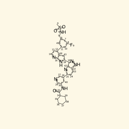 CS(=O)(=O)NCc1cc(F)cc(-c2ccnc3[nH]c(-c4n[nH]c5ccc(-c6cncc(NC(=O)C7CCCCC7)c6)nc45)cc23)c1